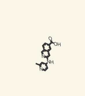 Cc1cc(Nc2cc3cc(C(=O)O)ccc3cn2)ccn1